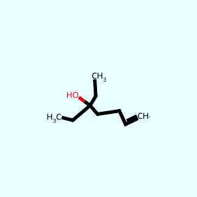 [CH]=CCCC(O)(CC)CC